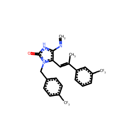 C=Nc1[nH]c(=O)n(Cc2ccc(C(F)(F)F)cc2)c1/C=C(\C)c1cccc(C(F)(F)F)c1